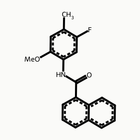 COc1cc(C)c(F)cc1NC(=O)c1cccc2ccccc12